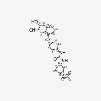 [C-]#[N+]c1cc2c(Oc3ccc(NC(=O)Nc4cccc(S(C)(=O)=O)c4)cc3)ccnc2cc1O